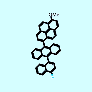 COc1ccc2ccc3c(-c4c5ccccc5c(-c5ccc(F)c6ccccc56)c5ccccc45)ccc4ccc1c2c43